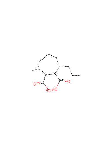 CCCC1CCCC(C)C(C(=O)O)C1C(=O)O